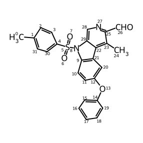 Cc1ccc(S(=O)(=O)n2c3ccc(Oc4ccccc4)cc3c3c(C)c(C=O)ncc32)cc1